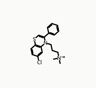 C[N+](C)(C)CCCN1C(c2ccccc2)=CSc2ccc(Cl)cc21